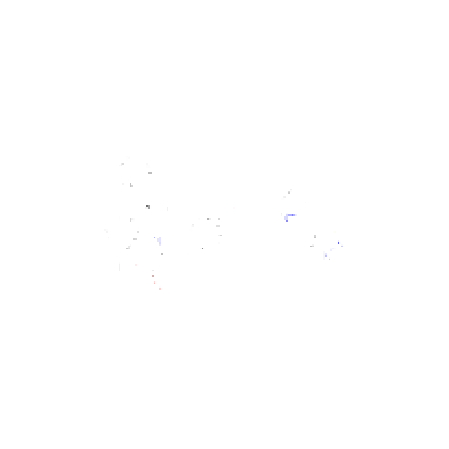 Cc1nnsc1-c1nc(CCOc2ccc(CC(Nc3ccccc3C(=O)c3ccccc3)C(=O)O)cc2)c(C)s1